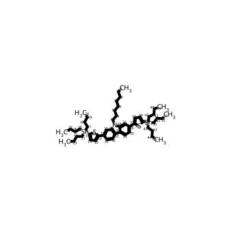 CCCCCCCCn1c2cc(-c3cc[c]([Sn]([CH2]CCC)([CH2]CCC)[CH2]CCC)s3)ccc2c2ccc(-c3cc[c]([Sn]([CH2]CCC)([CH2]CCC)[CH2]CCC)s3)cc21